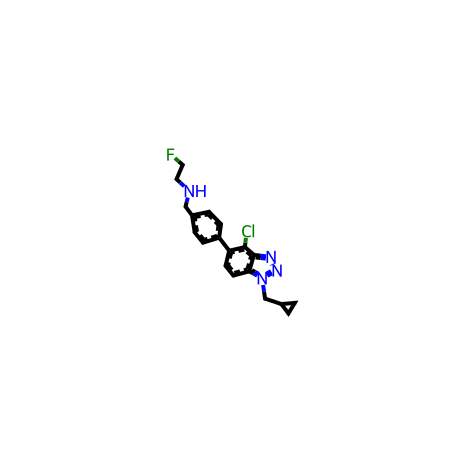 FCCNCc1ccc(-c2ccc3c(nnn3CC3CC3)c2Cl)cc1